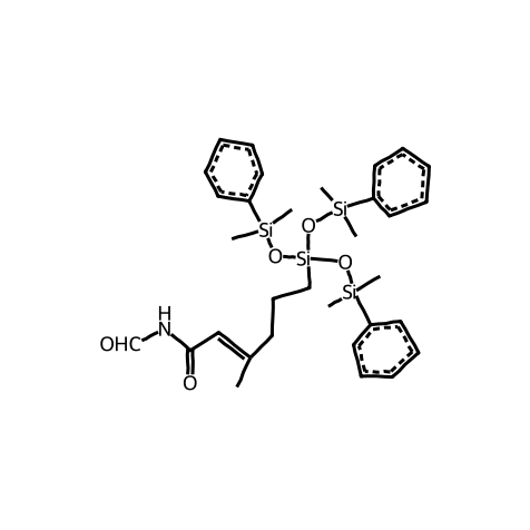 CC(=CC(=O)NC=O)CCC[Si](O[Si](C)(C)c1ccccc1)(O[Si](C)(C)c1ccccc1)O[Si](C)(C)c1ccccc1